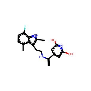 C=C(NCCc1c(C)[nH]c2c(F)ccc(C)c12)c1cc(O)nc(O)c1